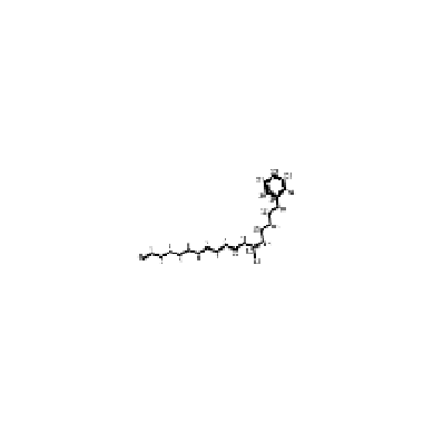 CCCCCCCCCCCC[C](C)CCCCCc1ccccc1